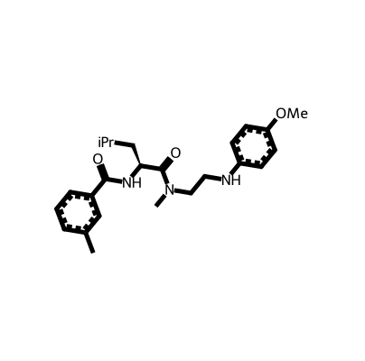 COc1ccc(NCCN(C)C(=O)[C@H](CC(C)C)NC(=O)c2cccc(C)c2)cc1